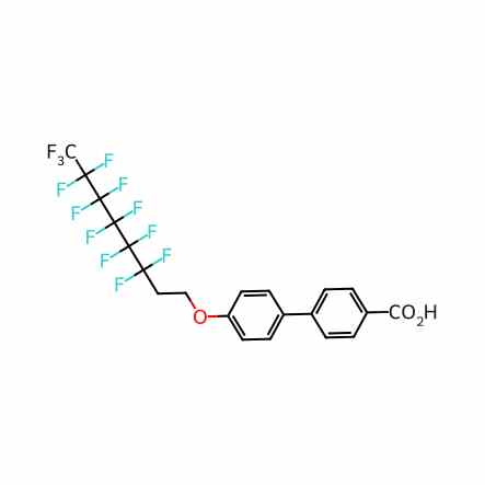 O=C(O)c1ccc(-c2ccc(OCCC(F)(F)C(F)(F)C(F)(F)C(F)(F)C(F)(F)C(F)(F)F)cc2)cc1